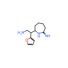 N=C1CCCCC(C(CN)c2ccco2)N1